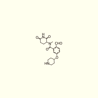 CN(C(=O)c1cc(OC2CCNCC2)ccc1C=O)C1CCC(=O)NC1=O